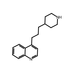 c1ccc2c(CCCC3CCNCC3)ccnc2c1